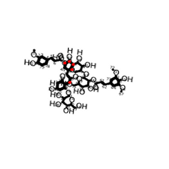 COc1cc(/C=C/C(=O)OCC2O[C@@H](Oc3cc4c(O[C@@H]5OC(CO)[C@H](O)[C@H](O)C5O)cc(O)cc4[o+]c3-c3ccc(O)c(O)c3)[C@H](O[C@@H]3OC(CO)[C@@H](O)[C@H](O)C3OC(=O)/C=C/c3cc(OC)c(O)c(OC)c3)C(O)[C@@H]2O)ccc1O